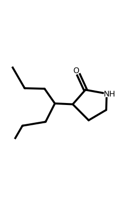 CCCC(CCC)C1CCNC1=O